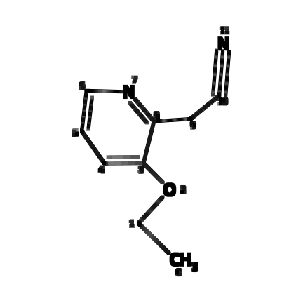 CCOc1cccnc1CC#N